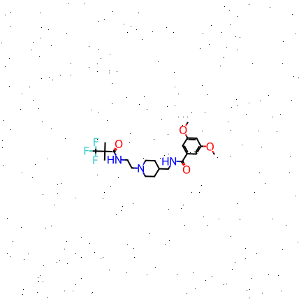 COc1cc(OC)cc(C(=O)NCC2CCN(CCNC(=O)C(C)(C)C(F)(F)F)CC2)c1